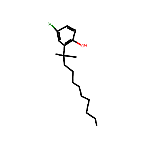 CCCCCCCCCC(C)(C)c1cc(Br)ccc1O